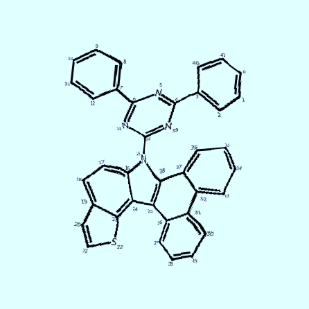 c1ccc(-c2nc(-c3ccccc3)nc(-n3c4ccc5ccsc5c4c4c5ccccc5c5ccccc5c43)n2)cc1